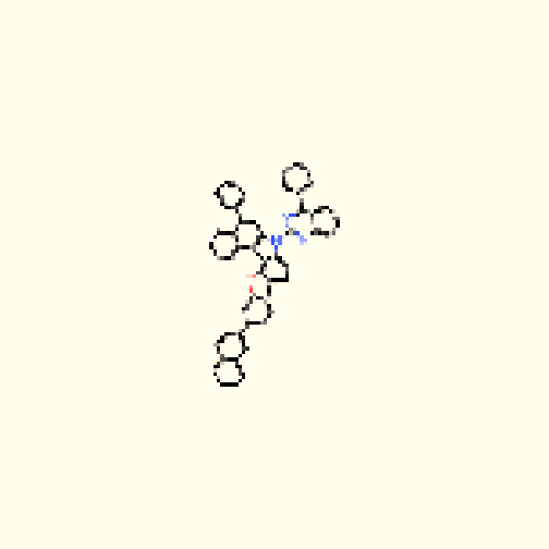 c1ccc(-c2nc(-n3c4cc(-c5ccccc5)c5ccccc5c4c4c5oc6cc(-c7ccc8ccccc8c7)ccc6c5ccc43)nc3ccccc23)cc1